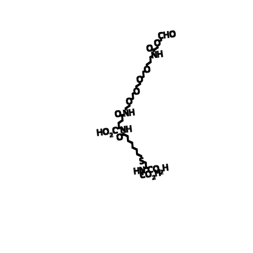 O=CCOCC(=O)NCCCOCCOCCOCCOCCNC(=O)CCC(NC(=O)CCCCCCCSCC(NC(=O)O)C(=O)O)C(=O)O